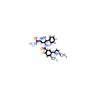 Cn1ccc(-c2cc(C(=O)Nc3cc(C(N)=O)nnc3-c3ccccc3)c(F)cc2C(F)(F)F)n1